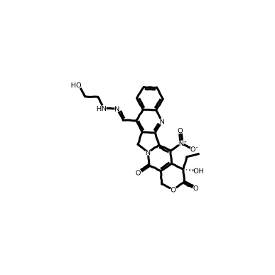 CC[C@@]1(O)C(=O)OCc2c1c([N+](=O)[O-])c1n(c2=O)Cc2c-1nc1ccccc1c2/C=N/NCCO